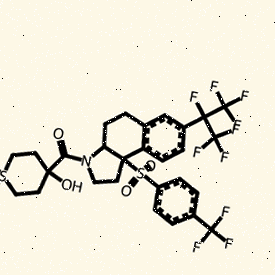 O=C(N1CCC2(S(=O)(=O)c3ccc(C(F)(F)F)cc3)c3ccc(C(F)(C(F)(F)F)C(F)(F)F)cc3CCC12)C1(O)CCS(=O)(=O)CC1